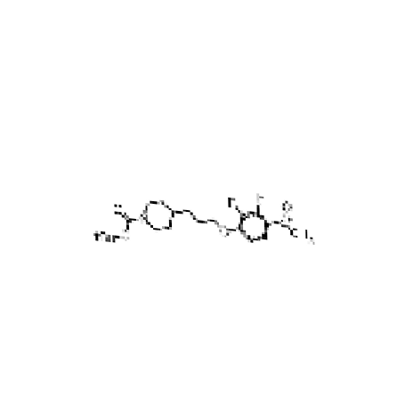 C[S+]([O-])c1ccc(OCCCC2CCN(C(=O)OC(C)(C)C)CC2)c(F)c1F